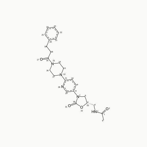 CC(=O)NC[C@H]1CN(c2ccc(N3CCN(C(=O)CCc4ccccc4)CC3)nc2)C(=O)O1